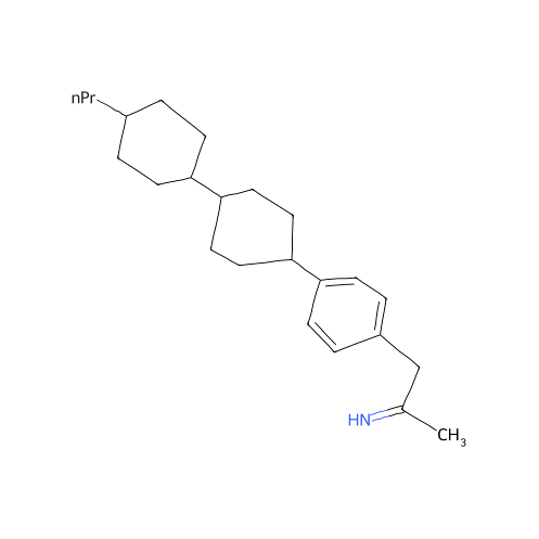 CCCC1CCC(C2CCC(c3ccc(CC(C)=N)cc3)CC2)CC1